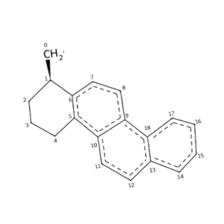 [CH2][C@@H]1CCCc2c1ccc1c2ccc2ccccc21